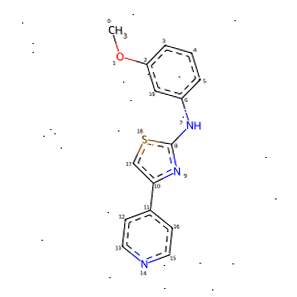 COc1cccc(Nc2nc(-c3ccncc3)cs2)c1